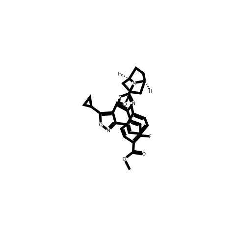 COC(=O)c1ccc(-c2csc(N3[C@@H]4CC[C@H]3C[C@@H](OCc3c(-c5ccccc5C)noc3C3CC3)C4)n2)cc1F